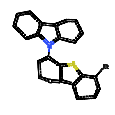 CCc1cccc2c1sc1c(-n3c4ccccc4c4ccccc43)cccc12